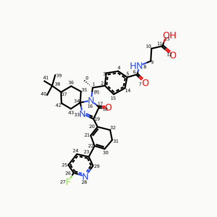 C[C@H](c1ccc(C(=O)NCCC(=O)O)cc1)N1C(=O)C(C2=CC(c3ccc(F)nc3)=CCC2)=NC12CCC(C(C)(C)C)CC2